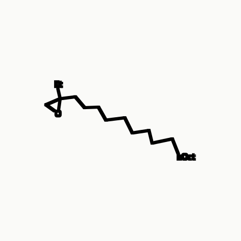 CCCCCCCCCCCCCCCCCC1(CC)CO1